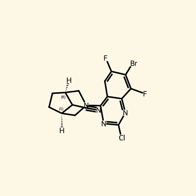 N#CC1[C@@H]2CC[C@H]1CN(c1nc(Cl)nc3c(F)c(Br)c(F)cc13)C2